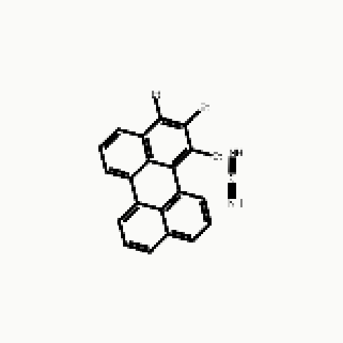 CCc1c(CC)c2cccc3c4cccc5cccc(c(c1CC)c23)c54.N=C=N